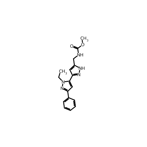 CCn1nc(-c2ccccc2)cc1-c1cc(CNC(=O)OC)[nH]n1